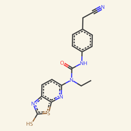 CCN(C(=O)Nc1ccc(CC#N)cc1)c1ccc2nc(S)sc2n1